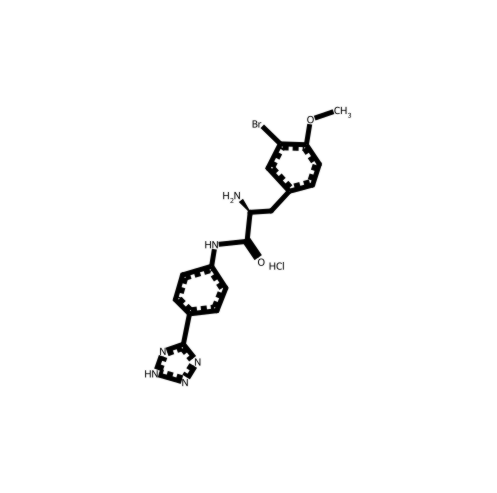 COc1ccc(C[C@H](N)C(=O)Nc2ccc(-c3nn[nH]n3)cc2)cc1Br.Cl